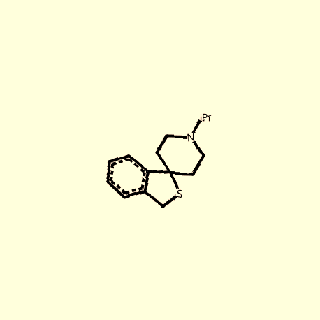 CC(C)N1CCC2(CC1)SCc1ccccc12